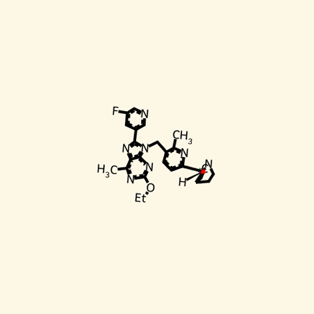 CCOc1nc(C)c2nc(-c3cncc(F)c3)n(Cc3ccc([C@H]4CN5CCC4CC5)nc3C)c2n1